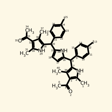 CC(=O)c1c(C)[nH]c(C(c2ccc(I)cc2)c2ccc(C(c3ccc(I)cc3)c3[nH]c(C)c(C(C)=O)c3C)[nH]2)c1C